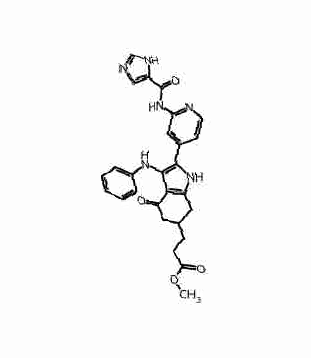 COC(=O)CCC1CC(=O)c2c([nH]c(-c3ccnc(NC(=O)c4cnc[nH]4)c3)c2Nc2ccccc2)C1